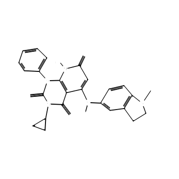 CN1CCc2cc(N(C)c3cc(=O)n(C)c4c3c(=O)n(C3CC3)c(=O)n4-c3ccccc3)ccc21